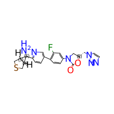 N[C@]1(c2ccc(-c3ccc(N4C[C@H](Cn5ccnn5)OC4=O)cc3F)cn2)[C@@H]2CSC[C@@H]21